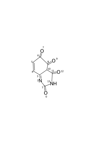 O=C1N=C2C=CC(=O)C(=O)C2C(=O)N1